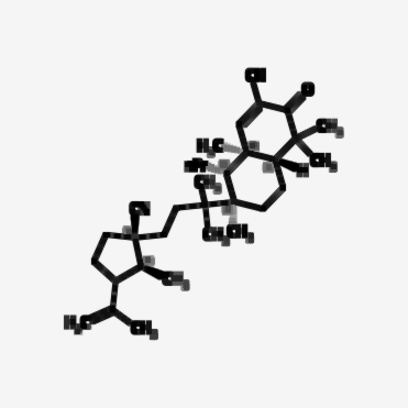 C=C(C)C1CC[C@](C#N)(CCC(C)(C)[C@]2(C)CC[C@H]3C(C)(C)C(=O)C(C#N)=C[C@]3(C)[C@H]2CCC)[C@H]1C